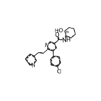 O=C(N[C@@H]1CCCC[C@H]1O)c1cnc(CCc2cccnc2)c(-c2ccc(Cl)cc2)c1